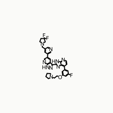 Fc1cc(OCCN2CCCC2)cc(-c2ccnc3[nH]c(-c4n[nH]c5ncc(-c6cncc(CN7CCC(F)(F)C7)c6)cc45)nc23)c1